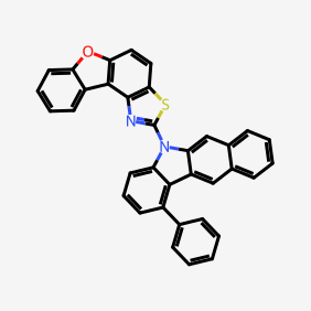 c1ccc(-c2cccc3c2c2cc4ccccc4cc2n3-c2nc3c(ccc4oc5ccccc5c43)s2)cc1